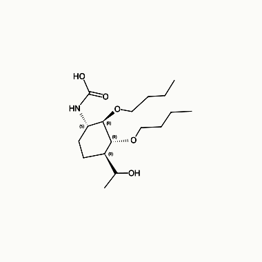 CCCCO[C@H]1[C@H](OCCCC)[C@@H](C(C)O)CC[C@@H]1NC(=O)O